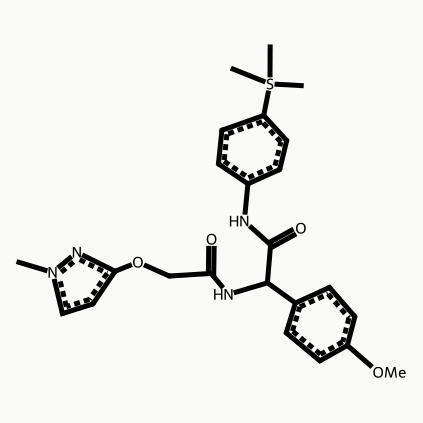 COc1ccc(C(NC(=O)COc2ccn(C)n2)C(=O)Nc2ccc(S(C)(C)C)cc2)cc1